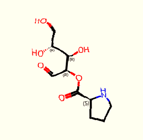 O=C[C@H](OC(=O)[C@@H]1CCCN1)[C@H](O)[C@H](O)CO